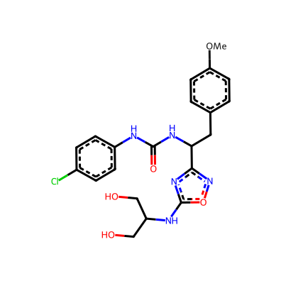 COc1ccc(CC(NC(=O)Nc2ccc(Cl)cc2)c2noc(NC(CO)CO)n2)cc1